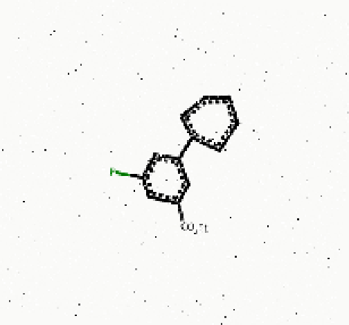 CCOC(=O)c1cc(F)cc(-c2c[c]ccc2)c1